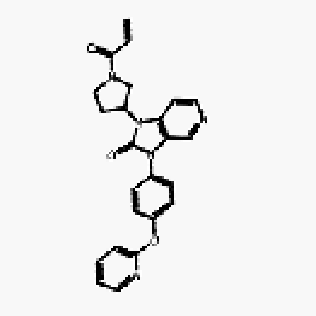 C=CC(=O)N1CCC(n2c(=O)n(-c3ccc(Oc4ccccn4)cc3)c3cnccc32)C1